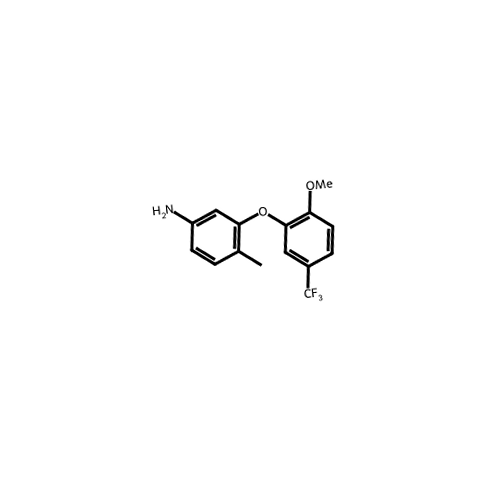 COc1ccc(C(F)(F)F)cc1Oc1cc(N)ccc1C